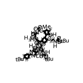 COC(=O)[C@@H]1Cc2cc(F)c(O)c(c2)-c2cc(ccc2OCCNC(=O)OC(C)(C)C)[C@H](N(C)C(=O)[C@H](CCNC(=O)OC(C)(C)C)NC(=O)c2c(C)nc(-c3ccc(C(C)(C)C)cc3)nc2C)C(=O)N[C@@H](C)C(=O)N1